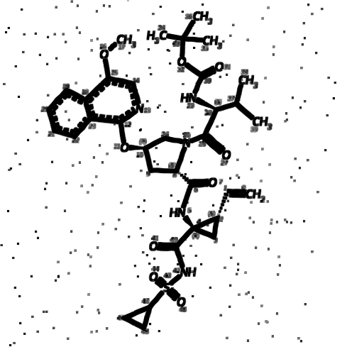 C=C[C@@H]1C[C@]1(NC(=O)[C@@H]1C[C@@H](Oc2ncc(OC)c3ccccc23)CN1C(=O)[C@@H](NC(=O)OC(C)(C)C)C(C)C)C(=O)NS(=O)(=O)C1CC1